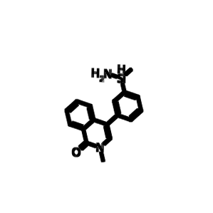 Cn1cc(-c2cccc([SiH](C)N)c2)c2ccccc2c1=O